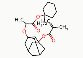 C=C(C)C(=O)OC12CC3CC(C1)CC(OC(C)C(=O)OC1(C)CCCCC1)(C3)C2